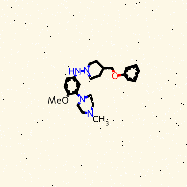 COc1ccc(NN2CCC(COc3ccccc3)CC2)cc1N1CCN(C)CC1